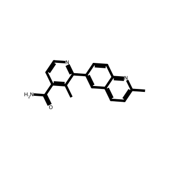 Cc1ccc2cc(-c3nccc(C(N)=O)c3C)ccc2n1